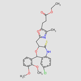 CCOC(=O)CCc1oc(CC2OC(c3cccc(OC)c3OC)c3cc(Cl)ccc3NC2=S)nc1C